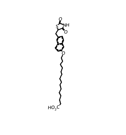 O=C(O)CCCCCCCCCCCCCCOc1ccc2cc(CC3SC(=O)NC3=O)ccc2c1